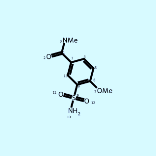 CNC(=O)c1ccc(OC)c(S(N)(=O)=O)c1